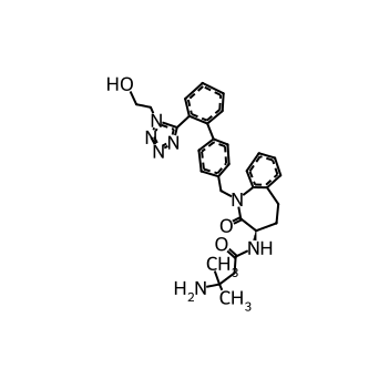 CC(C)(N)CC(=O)N[C@@H]1CCc2ccccc2N(Cc2ccc(-c3ccccc3-c3nnnn3CCO)cc2)C1=O